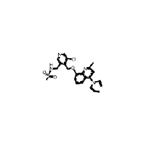 C=CN(/C=C\C)c1cc(C)nc2c(OCc3c(Cl)cncc3CNS(C)(=O)=O)cccc12